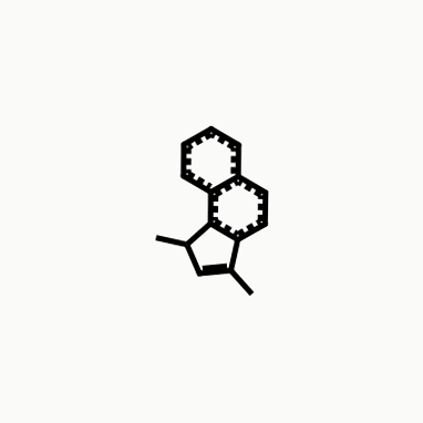 CC1=CC(C)c2c1ccc1ccccc21